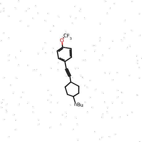 CCCCC1CCC(C#Cc2ccc(OC(F)(F)F)cc2)CC1